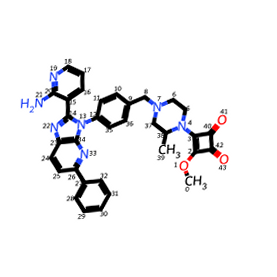 COc1c(N2CCN(Cc3ccc(-n4c(-c5cccnc5N)nc5ccc(-c6ccccc6)nc54)cc3)CC2C)c(=O)c1=O